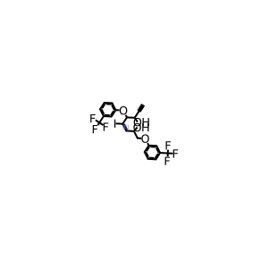 C#CC(O)C(Oc1cccc(C(F)(F)F)c1)/C(I)=C\C(O)COc1cccc(C(F)(F)F)c1